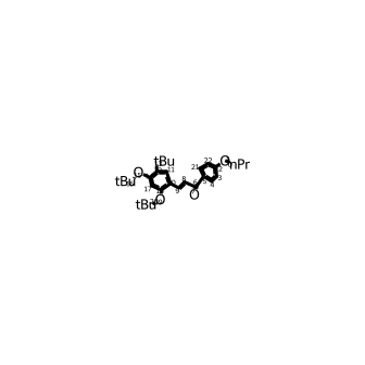 CCCOc1ccc(C(=O)C=Cc2cc(C(C)(C)C)c(OC(C)(C)C)cc2OC(C)(C)C)cc1